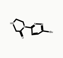 CC(C)(C)c1ccc(N2CCNCC2=O)nn1